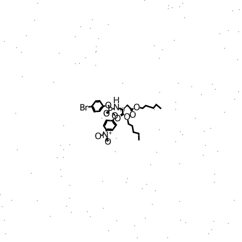 CCCCCOC(=O)C[C@H](NP(=O)(Oc1ccc(Br)cc1)Oc1ccc([N+](=O)[O-])cc1)C(=O)OCCCCC